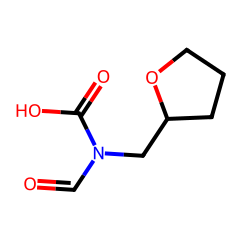 O=CN(CC1CCCO1)C(=O)O